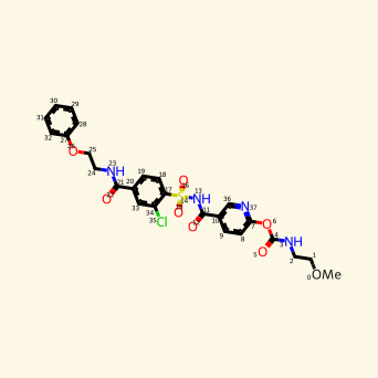 COCCNC(=O)Oc1ccc(C(=O)NS(=O)(=O)c2ccc(C(=O)NCCOc3ccccc3)cc2Cl)cn1